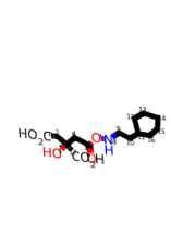 O=C(O)CC(O)(CC(=O)ONCCC1CCCCC1)C(=O)O